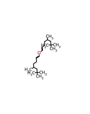 CC(CCC=COC=CCCC(C)CC(C)(C)C)CC(C)(C)C